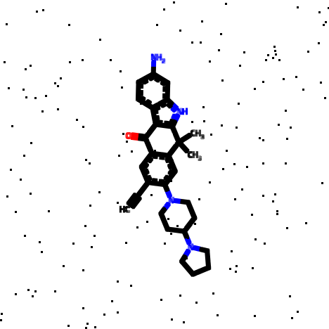 C#Cc1cc2c(cc1N1CCC(N3CCCC3)CC1)C(C)(C)c1[nH]c3cc(N)ccc3c1C2=O